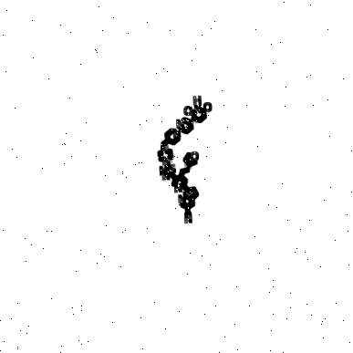 N#Cc1cnn2c(-c3cc(CC[C@H]4CCOC4)c(-c4nnc(N5CCN(CC6CCN(c7ccc([C@H]8CCC(=O)NC8=O)cn7)CC6)CC5)s4)cn3)ccc2c1